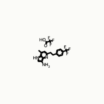 Cc1cc(CCc2ccc(C(F)(F)F)cc2)nc2c(N)c[nH]c12.O=C(O)C(F)(F)F